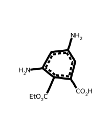 CCOC(=O)c1c(N)cc(N)cc1C(=O)O